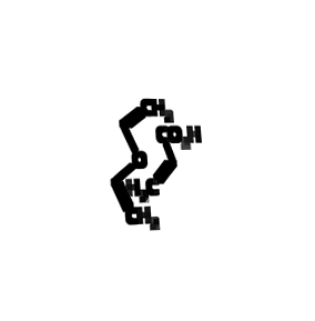 C=CC(=O)O.C=COC=C